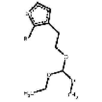 CCOC(OC)OCCc1ccsc1Br